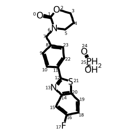 O=C1OCCCN1Cc1ccc(-c2nc3cc(F)ccc3s2)cc1.O=[PH2]O